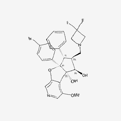 COc1cncc2c1[C@]1(O)[C@H](O)[C@H](CN3CC(F)(F)C3)[C@@H](c3ccccc3)[C@]1(c1ccc(Br)cc1)O2